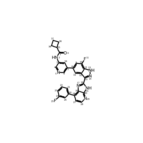 O=C(Nc1cncc(-c2cc(F)c3[nH]nc(-c4nc5c(-c6cccc(F)c6)ccnc5[nH]4)c3c2)c1)C1CCC1